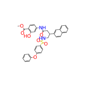 COC(=O)c1ccc(NC(=O)CC(CNS(=O)(=O)c2ccc(Oc3ccccc3)cc2)c2ccc3ccccc3c2)cc1O